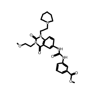 COCCn1c(=O)c2cc(NC(=O)Nc3cccc(C(=O)OC)c3)ccc2n(CCN2CCCCC2)c1=O